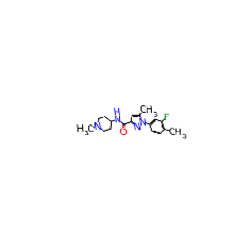 Cc1ccc(-n2nc(C(=O)NC3CCN(C)CC3)cc2C)cc1F